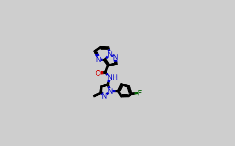 CC1=NN(c2ccc(F)cc2)C(NC(=O)c2cnn3cccnc23)C1